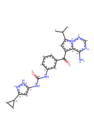 CC(C)c1cc(C(=O)c2cccc(NC(=O)Nc3cc(C4CC4)n[nH]3)c2)c2c(N)ncnn12